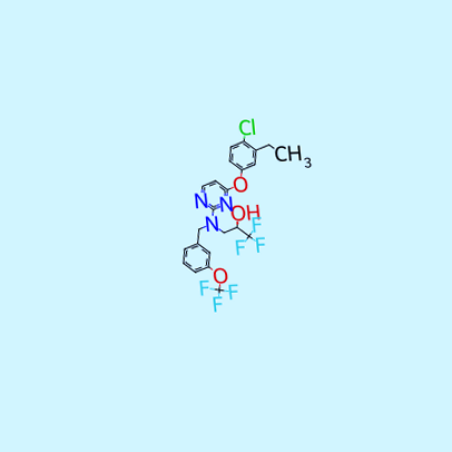 CCc1cc(Oc2ccnc(N(Cc3cccc(OC(F)(F)F)c3)C[C@@H](O)C(F)(F)F)n2)ccc1Cl